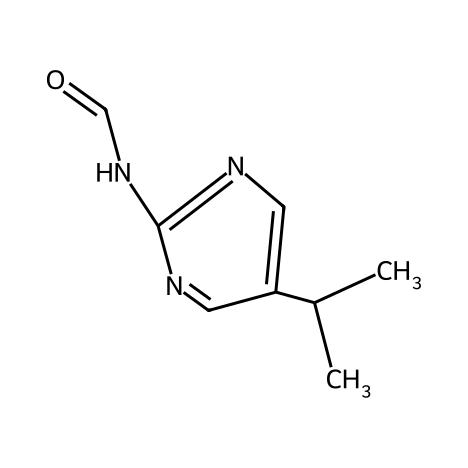 CC(C)c1cnc(NC=O)nc1